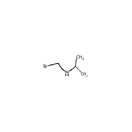 CC(C)NCBr